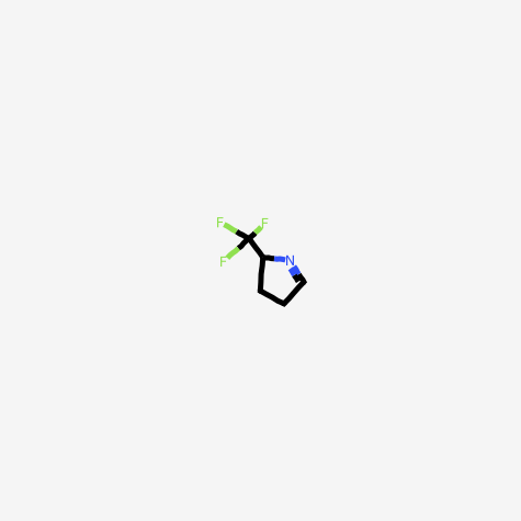 FC(F)(F)C1CCC=N1